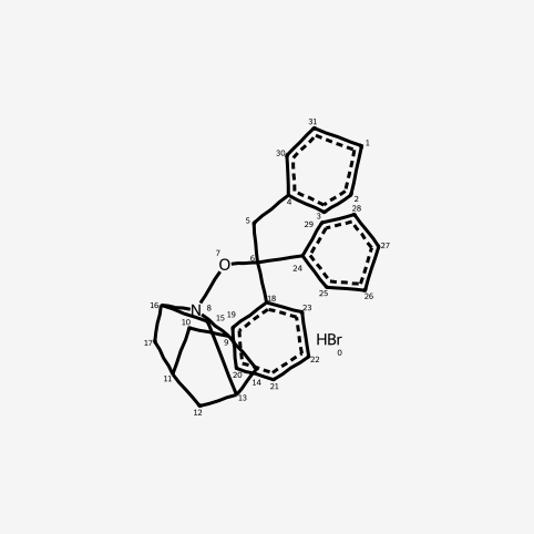 Br.c1ccc(CC(ON2C3CC4CC(C3)CC2C4)(c2ccccc2)c2ccccc2)cc1